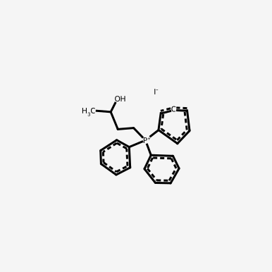 CC(O)CC[P+](c1ccccc1)(c1ccccc1)c1ccccc1.[I-]